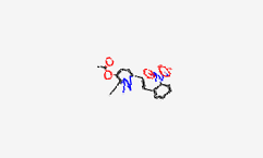 CC(=O)Oc1ccc(/C=C/c2ccccc2[N+](=O)[O-])nc1C